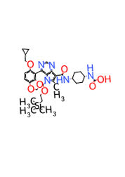 Cc1c(C(=O)N[C@H]2CC[C@@H](NC(=O)O)CC2)c2ncnc(-c3c(OCC4CC4)ccc4c3OCO4)c2n1COCC[Si](C)(C)C